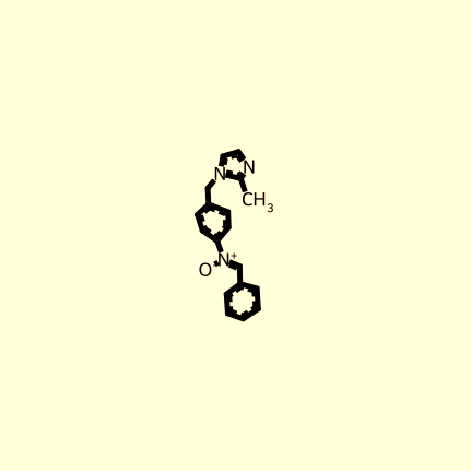 Cc1nccn1Cc1ccc(/[N+]([O-])=C/c2ccccc2)cc1